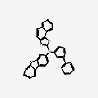 c1ccc(-c2cccc(N(c3ccc4c(c3)oc3ccccc34)c3nc4ccc5ccccc5c4o3)c2)cc1